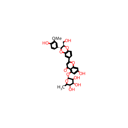 COc1cc([C@H]2Oc3cc(-c4cc(=O)c5c(O[C@@H]6OC(C)[C@H](O)[C@H](O)C6O)cc(O)cc5o4)ccc3O[C@@H]2CO)ccc1O